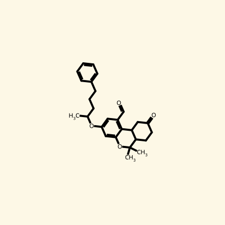 CC(CCCc1ccccc1)Oc1cc(C=O)c2c(c1)OC(C)(C)C1CCC(=O)CC21